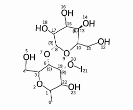 CC1OC(CO)[C@H](O[C@H]2OC(CO)[C@H](O)C(O)C2O)[C@H](OI)C1O